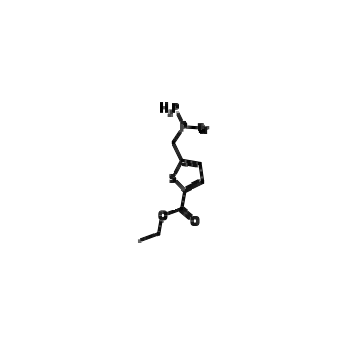 CCOC(=O)c1ccc(CP(P)Br)s1